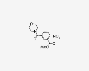 COC(=O)c1cc(C(=O)N2CCOCC2)ccc1[N+](=O)[O-]